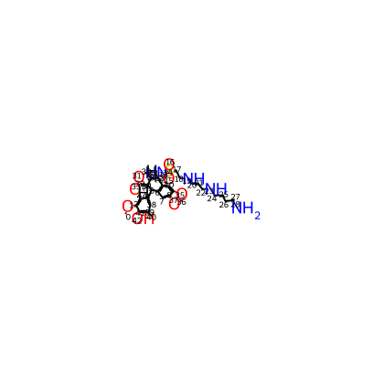 COc1cc(C2c3cc4c(cc3[C@@H](NS(=O)(=O)CCNCCCNCCCCN)[C@H]3COC(=O)[C@H]23)OCO4)cc(C)c1O